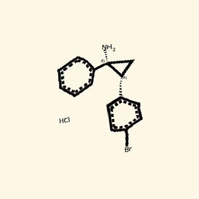 Cl.N[C@]1(c2ccccc2)C[C@@H]1c1ccc(Br)cc1